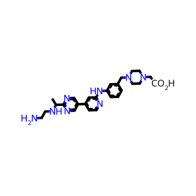 CC(NCCN)c1ncc(-c2ccnc(Nc3cccc(CN4CCN(CC(=O)O)CC4)c3)c2)cn1